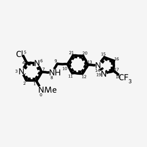 CNc1cnc(Cl)nc1NCc1ccc(-n2ccc(C(F)(F)F)n2)cc1